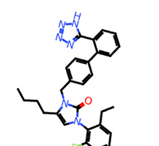 CCCCc1cn(-c2c(F)cccc2CC)c(=O)n1Cc1ccc(-c2ccccc2-c2nnn[nH]2)cc1